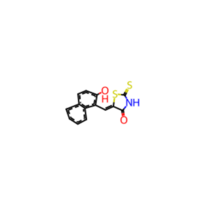 O=C1NC(=S)S/C1=C\c1c(O)ccc2ccccc12